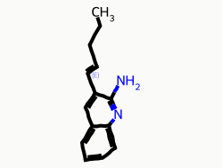 CCC/C=C/c1cc2ccccc2nc1N